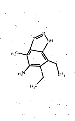 CCc1c(N)c(C)c2nn[nH]c2c1CC